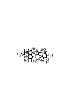 CNC1C(O)[C@H](O)C(CO)O[C@@H]1O[C@@H]1C(O[C@H]2C(O)C(O)[C@H](N=C(N)N)C(O)C2N=C(N)N)OC(C)C1O